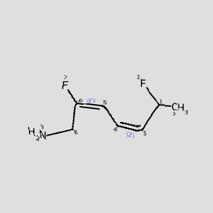 CC(F)/C=C\C=C(\F)CN